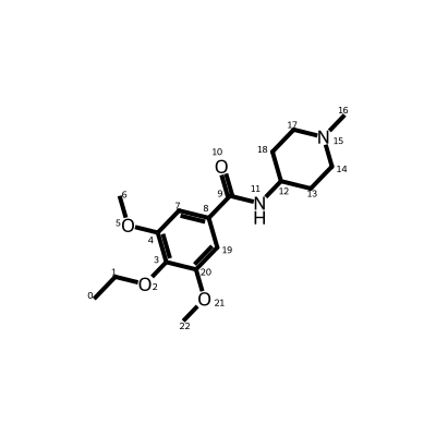 CCOc1c(OC)cc(C(=O)NC2CCN(C)CC2)cc1OC